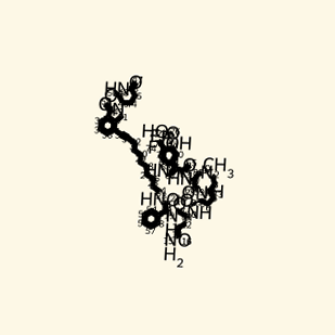 CN1CC[C@H]2CC[C@@H](C(=O)N[C@@H](CCC(N)=O)C(=O)N[C@H](C(=O)NCCCCCCCCCC#Cc3cccc4c3CN(C3CCC(=O)NC3=O)C4=O)c3ccccc3)N2C(=O)[C@@H](NC(=O)c2c[nH]c3cc(C(F)(F)P(=O)(O)O)ccc23)C1